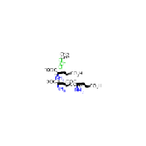 N[C@@H](CCC(=O)O)C(=O)[O-].N[C@@H](CCC(=O)O)C(=O)[O-].N[C@@H](CCC(=O)O)C(=O)[O-].[Cl-].[Cl-].[Cl-].[Cr+3].[Cr+3]